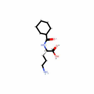 NCCC[C@H](NC(=O)C1CCCCC1)C(=O)O